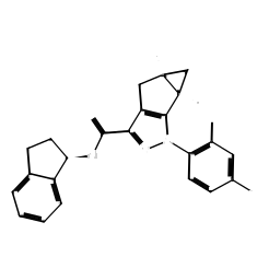 O=C(N[C@@H]1CCc2ccccc21)c1nn(-c2ccc(F)cc2F)c2c1C[C@H]1C[C@@H]21